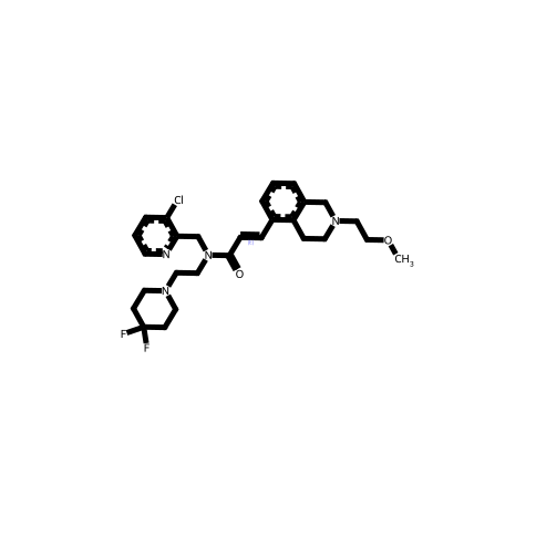 COCCN1CCc2c(/C=C/C(=O)N(CCN3CCC(F)(F)CC3)Cc3ncccc3Cl)cccc2C1